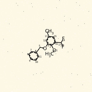 COc1c(OCc2ccccc2)cc(C)cc1C(F)F